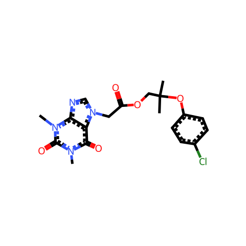 Cn1c(=O)c2c(ncn2CC(=O)OCC(C)(C)Oc2ccc(Cl)cc2)n(C)c1=O